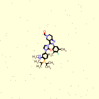 CNc1cc(-n2ccn(-c3c4c(nn3-c3cc(C)c(F)c(C)c3)CCN(C=O)C4)c2=O)ccc1P(C(C)C)C(C)C